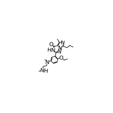 CCCc1nc(C)c2c(=O)[nH]c(-c3cc(N(C)CCNC)ccc3OCC)nn12